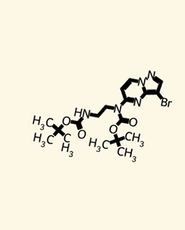 CC(C)(C)OC(=O)NCCN(C(=O)OC(C)(C)C)c1ccn2ncc(Br)c2n1